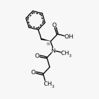 CC(=O)CC(=O)N(C)[C@@H](Cc1ccccc1)C(=O)O